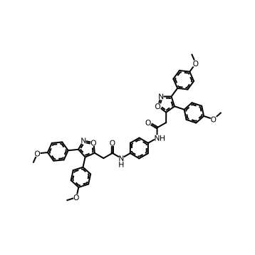 COc1ccc(-c2noc(CC(=O)Nc3ccc(NC(=O)Cc4onc(-c5ccc(OC)cc5)c4-c4ccc(OC)cc4)cc3)c2-c2ccc(OC)cc2)cc1